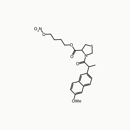 COc1ccc2cc(C(C)C(=O)N3CSCC3C(=O)OCCCCO[N+](=O)[O-])ccc2c1